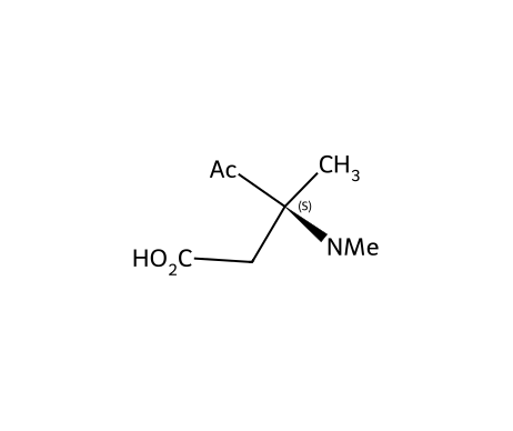 CN[C@@](C)(CC(=O)O)C(C)=O